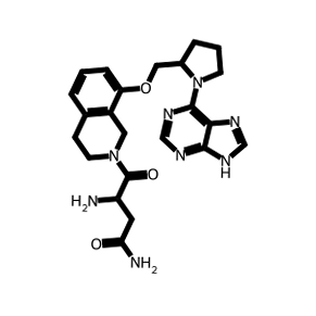 NC(=O)CC(N)C(=O)N1CCc2cccc(OCC3CCCN3c3ncnc4[nH]cnc34)c2C1